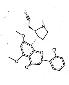 COc1cc(OC)c2c(=O)cc(-c3ccccc3Cl)oc2c1[C@H]1CCN(C)[C@@H]1CC#N